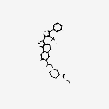 CCOC(=O)[C@H]1CCCN(CC(O)c2cc3c(cc2C)-c2noc(-c4noc(-c5ccccc5)c4C(F)(F)F)c2CC3)C1